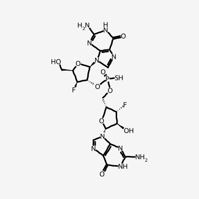 Nc1nc2c(ncn2[C@@H]2O[C@H](COP(=O)(S)O[C@@H]3[C@@H](F)[C@@H](CO)O[C@H]3n3cnc4c(=O)[nH]c(N)nc43)[C@H](F)[C@H]2O)c(=O)[nH]1